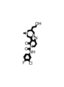 CN1Cc2c3c(nn2CC(CCO)C1)CCN(C(=O)Nc1ccc(F)c(Cl)c1)C3=O